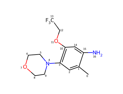 Cc1cc(N2CCOCC2)c(OCC(F)(F)F)cc1N